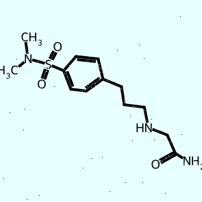 CN(C)S(=O)(=O)c1ccc(CCCNCC(N)=O)cc1